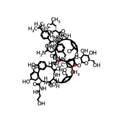 CN[C@H](CC(C)C)C(=O)N[C@H]1C(=O)N[C@@H](CC(N)=O)C(=O)N[C@H]2C(=O)N[C@H]3C(=O)N[C@H](C(=O)N[C@@H](C(=O)NNCCO)C4=C(C(O)=CC(O)C4)c4cc3ccc4O)[C@H](O)c3ccc(c(Cl)c3)Oc3cc2cc(c3O[C@@H]2O[C@H](CO)[C@@H](O)[C@H](O)[C@H]2O[C@H]2C[C@](C)(NCc3ccc(NC(=O)c4ccc(C(C)C)cc4)cc3)[C@H](O)[C@H](C)O2)Oc2ccc(cc2Cl)[C@H]1O